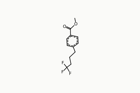 COC(=O)c1ccc(CCCC(F)(F)F)cc1